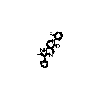 Cc1nn2c(ncc3c(=O)n(-c4ccccc4F)ccc32)c1-c1ccccc1